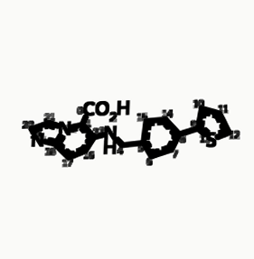 O=C(O)c1c(NCc2ccc(-c3cccs3)cc2)ccc2nccn12